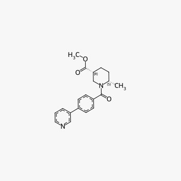 COC(=O)[C@@H]1CC[C@H](C)N(C(=O)c2ccc(-c3cccnc3)cc2)C1